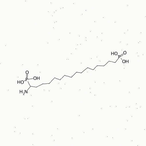 NC(CCCCCCCCCCCCCCCP(=O)(O)O)P(=O)(O)O